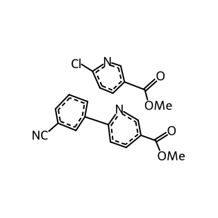 COC(=O)c1ccc(-c2cccc(C#N)c2)nc1.COC(=O)c1ccc(Cl)nc1